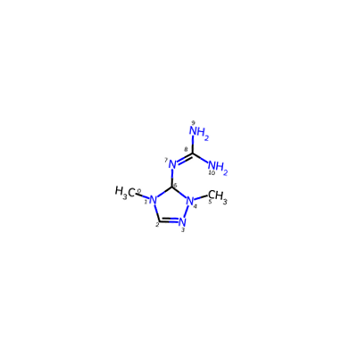 CN1C=NN(C)C1N=C(N)N